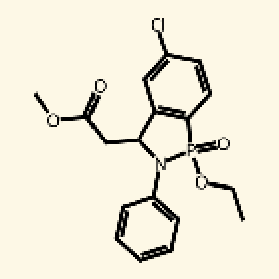 CCOP1(=O)c2ccc(Cl)cc2C(CC(=O)OC)N1c1ccccc1